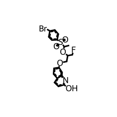 CC(OC(CF)COc1ccc2ccc(O)nc2c1)S(=O)(=O)c1ccc(Br)cc1